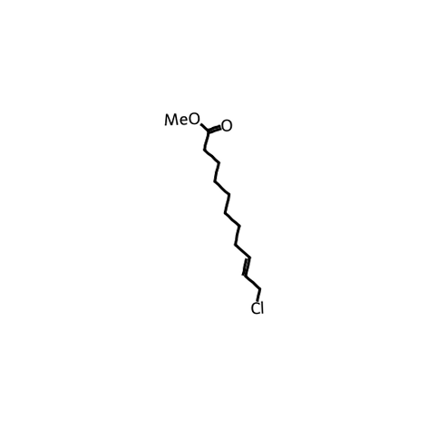 COC(=O)CCCCCCCC=CCCl